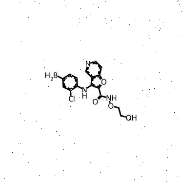 Bc1ccc(Nc2c(C(=O)NOCCO)oc3ccncc23)c(Cl)c1